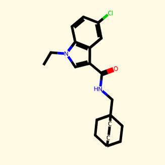 CCn1cc(C(=O)NCC23CCC(CC2)CC3)c2cc(Cl)ccc21